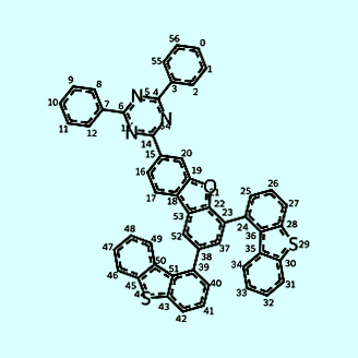 c1ccc(-c2nc(-c3ccccc3)nc(-c3ccc4c(c3)oc3c(-c5cccc6sc7ccccc7c56)cc(-c5cccc6sc7ccccc7c56)cc34)n2)cc1